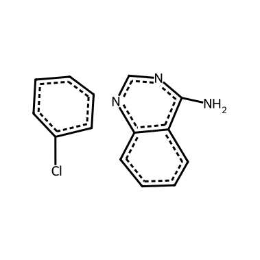 Clc1ccccc1.Nc1ncnc2ccccc12